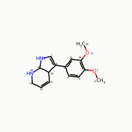 COc1ccc(C2=CNC3NCC=CC23)cc1OC